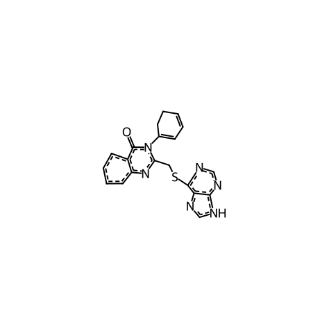 O=c1c2ccccc2nc(CSc2ncnc3[nH]cnc23)n1C1=CC=CCC1